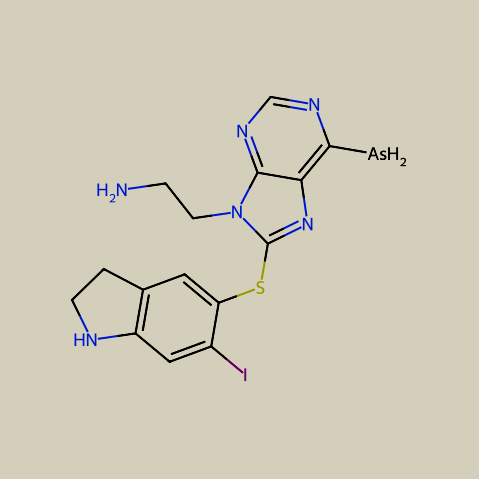 NCCn1c(Sc2cc3c(cc2I)NCC3)nc2c([AsH2])ncnc21